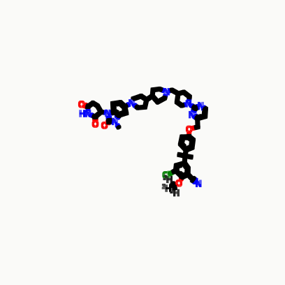 [2H]C([2H])([2H])Oc1c(Cl)cc(C(C)(C)c2ccc(OCc3ccnc(N4CCC(CN5CCC(C6CCN(c7ccc8c(c7)n(C)c(=O)n8C7CCC(=O)NC7=O)CC6)CC5)CC4)n3)cc2)cc1C#N